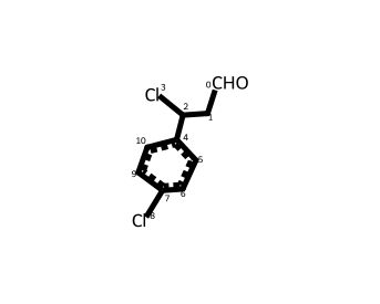 O=CCC(Cl)c1ccc(Cl)cc1